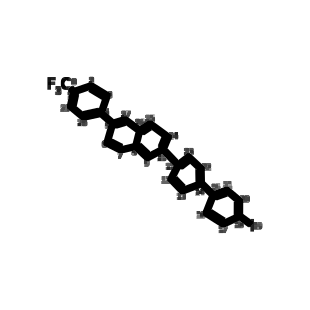 FC(F)(F)c1ccc(-c2ccc3cc(-c4ccc(-c5ccc(I)cc5)cc4)ccc3c2)cc1